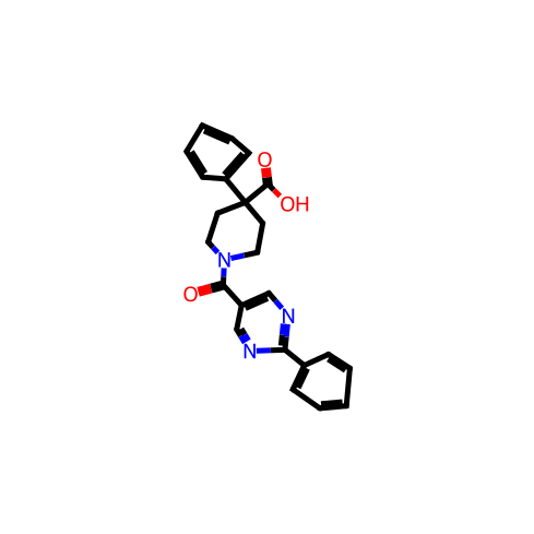 O=C(c1cnc(-c2ccccc2)nc1)N1CCC(C(=O)O)(c2ccccc2)CC1